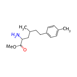 COC(=O)C(N)CC(C)CCc1ccc(C)cc1